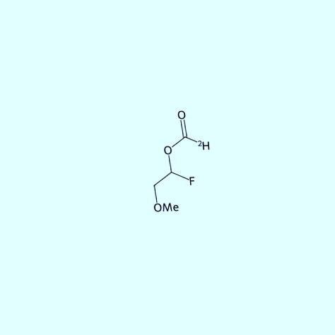 [2H]C(=O)OC(F)COC